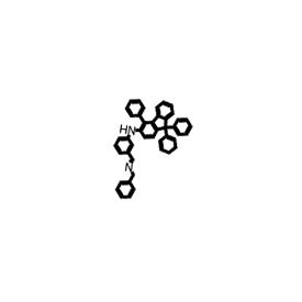 C1=CC(C2(c3ccccc3)c3ccccc3-c3c2ccc(Nc2cccc(/C=N/Cc4ccccc4)c2)c3-c2ccccc2)=CCC1